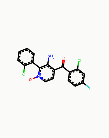 Nc1c(C(=O)c2ccc(F)cc2Cl)cc[n+]([O-])c1-c1ccccc1Cl